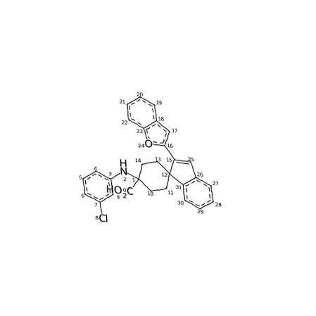 O=C(O)C1(Nc2cccc(Cl)c2)CCC2(CC1)C(c1cc3ccccc3o1)=Cc1ccccc12